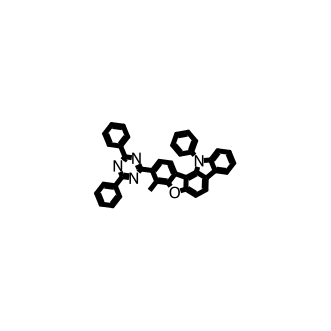 Cc1c(-c2nc(-c3ccccc3)nc(-c3ccccc3)n2)ccc2c1oc1ccc3c4ccccc4n(-c4ccccc4)c3c12